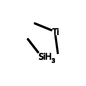 C[SiH3].[CH3][Ti][CH3]